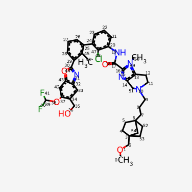 COCC12CCC(CCCN3CCc4c(nc(C(=O)Nc5cccc(-c6cccc(-c7nc8cc(CO)c(OC(F)F)cc8o7)c6C)c5Cl)n4C)C3)(CC1)C2